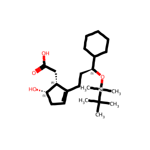 CC(C)(C)[Si](C)(C)O[C@@H](CCC1=CC[C@H](O)[C@@H]1CC(=O)O)C1CCCCC1